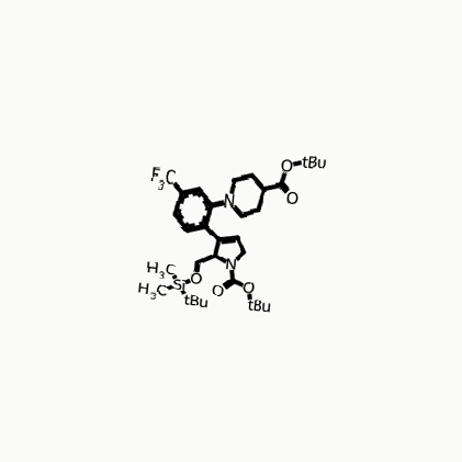 CC(C)(C)OC(=O)C1CCN(c2cc(C(F)(F)F)ccc2C2=CCN(C(=O)OC(C)(C)C)C2CO[Si](C)(C)C(C)(C)C)CC1